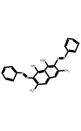 Cc1cc2cc(C)c(N=Nc3ccccc3)c(O)c2c(N)c1N=Nc1ccccc1